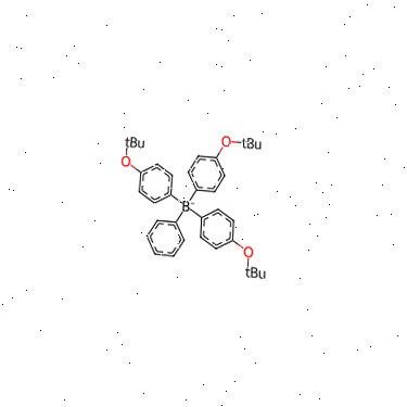 CC(C)(C)Oc1ccc([B-](c2ccccc2)(c2ccc(OC(C)(C)C)cc2)c2ccc(OC(C)(C)C)cc2)cc1